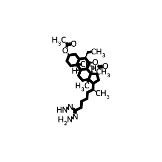 CC[C@@H]1C2C[C@H](OC(C)=O)CCC2(C)[C@H]2CCC3(C)C([C@H](C)CCCC/C(N=N)=N/N)CC[C@H]3C2[C@@H]1OC(C)=O